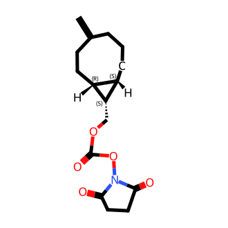 C=C1CCC[C@H]2[C@@H](CC1)[C@H]2COC(=O)ON1C(=O)CCC1=O